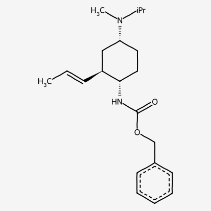 CC=C[C@H]1C[C@H](N(C)C(C)C)CC[C@@H]1NC(=O)OCc1ccccc1